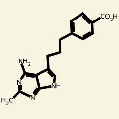 Cc1nc(N)c2c(CCCc3ccc(C(=O)O)cc3)c[nH]c2n1